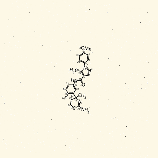 COc1ccc(-n2ncc(C(=O)Nc3ccc(F)c(C4(C)CCSC(N)=N4)c3)c2C)cc1